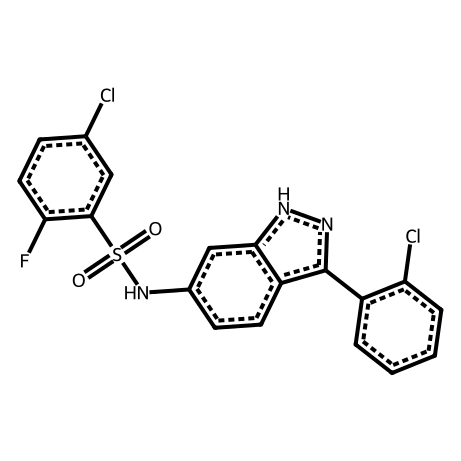 O=S(=O)(Nc1ccc2c(-c3ccccc3Cl)n[nH]c2c1)c1cc(Cl)ccc1F